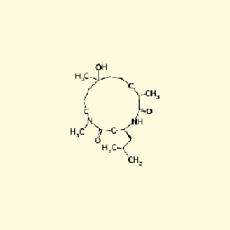 CC(C)C[C@H]1CC(=O)N(C)CCCC(C)(O)CCCC(C)C(=O)N1